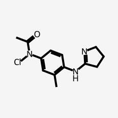 CC(=O)N(Cl)c1ccc(NC2=NCCC2)c(C)c1